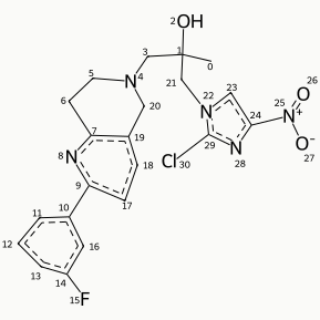 CC(O)(CN1CCc2nc(-c3cccc(F)c3)ccc2C1)Cn1cc([N+](=O)[O-])nc1Cl